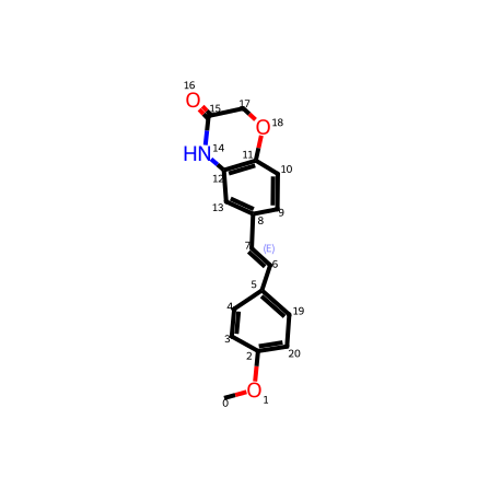 COc1ccc(/C=C/c2ccc3c(c2)NC(=O)CO3)cc1